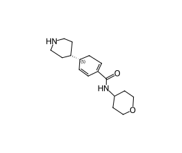 O=C(NC1CCOCC1)C1=CC[C@@H](C2CCNCC2)C=C1